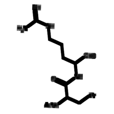 CC(=O)NC(CC(C)C)C(=O)NC(C=O)CCCNC(=N)N